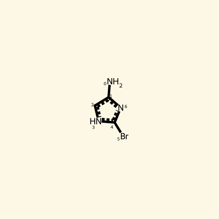 Nc1c[nH]c(Br)n1